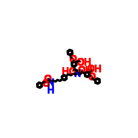 O=C(NCCCCc1ccc(CCCCN(CC(O)c2ccc(OCc3ccccc3)c(CO)c2)CC(O)c2ccc(OCc3ccccc3)c(CO)c2)cc1)OCc1ccccc1